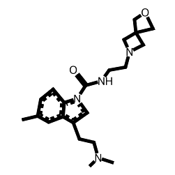 Cc1ccc2c(c1)c(CCN(C)C)cn2C(=O)NCCN1CC2(COC2)C1